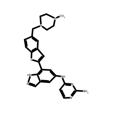 CN1CCN(Cc2ccc3sc(-c4cc(Nc5ccnc(N)n5)cc5cn[nH]c45)cc3c2)CC1